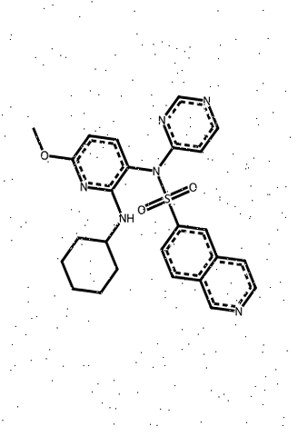 COc1ccc(N(c2ccncn2)S(=O)(=O)c2ccc3cnccc3c2)c(NC2CCCCC2)n1